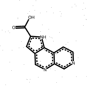 O=C(O)c1cc2cnc3cnccc3c2[nH]1